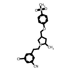 CC1CC(COc2ccc(S(C)(=O)=O)cc2)CN1CCc1cc(Cl)cc(C#N)c1